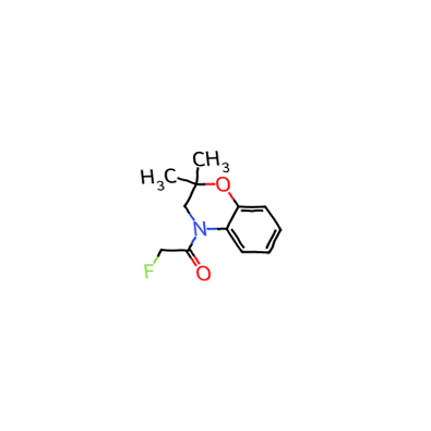 CC1(C)CN(C(=O)CF)c2ccccc2O1